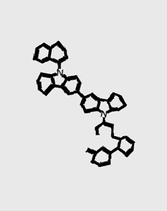 C=C1C=C(C2C=CC=CC2C/C=C(\CC)n2c3ccccc3c3cc(-c4ccc5c(c4)c4ccccc4n5-c4cccc5ccccc45)ccc32)C=CC1